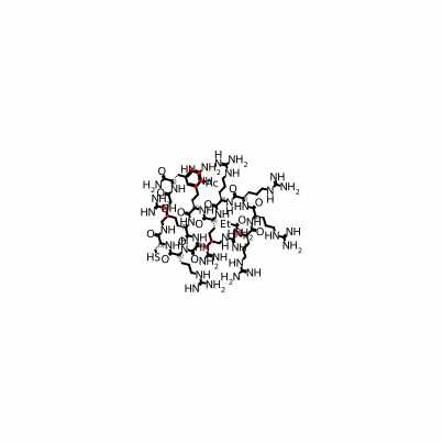 CCC(=O)N[C@H](CCCNC(=N)N)C(=O)N[C@H](CCCNC(=N)N)C(=O)N[C@H](CCCNC(=N)N)C(=O)N[C@H](CCCNC(=N)N)C(=O)N[C@H](CCCNC(=N)N)C(=O)N[C@H](CCCNC(=N)N)C(=O)N[C@H](CCCNC(=N)N)C(=O)N[C@H](CCCNC(=N)N)C(=O)N[C@H](CCCNC(=N)N)C(=O)N[C@H](CS)C(=O)NCCOCC(=O)N[C@@H](Cc1ccc(C(C)=O)cc1)C(N)=O